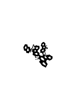 c1ccc2cc(-n3c4cc5sc6c7ccccc7c7c8ccccc8n(-c8ccc9c(c8)sc8ccccc89)c7c6c5cc4c4cccnc43)ccc2c1